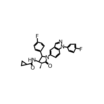 C[C@@H]1C(=O)N(c2ccc3c(cnn3-c3ccc(F)cc3)c2)C(c2ccc(F)cc2)C1NC(=O)C1CC1